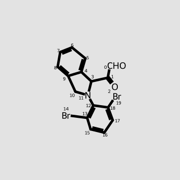 O=CC(=O)C1c2ccccc2CN1c1c(Br)cccc1Br